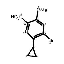 COc1cc(Br)c(C2CC2)nc1C(=O)O